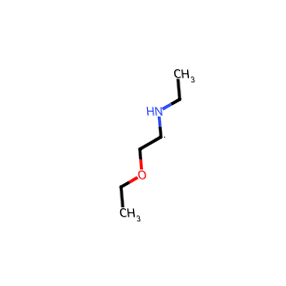 CCN[CH]COCC